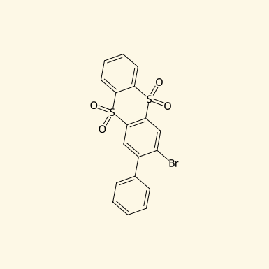 O=S1(=O)c2ccccc2S(=O)(=O)c2cc(-c3ccccc3)c(Br)cc21